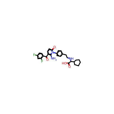 Nc1c(C(=O)c2ccc(F)cc2F)ccc(=O)n1-c1ccc(CCNC(C(=O)O)C2CCCCC2)cc1